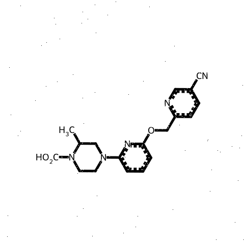 CC1CN(c2cccc(OCc3ccc(C#N)cn3)n2)CCN1C(=O)O